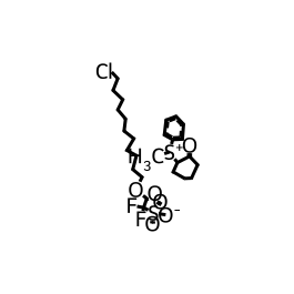 C[S+](c1ccccc1)C1CCCCC1=O.O=C(OCCCCCCCCCCCCl)C(F)(F)S(=O)(=O)[O-]